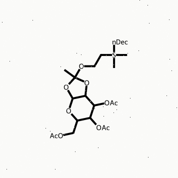 CCCCCCCCCCS(C)(C)CCOC1(C)OC2OC(COC(C)=O)C(OC(C)=O)C(OC(C)=O)C2O1